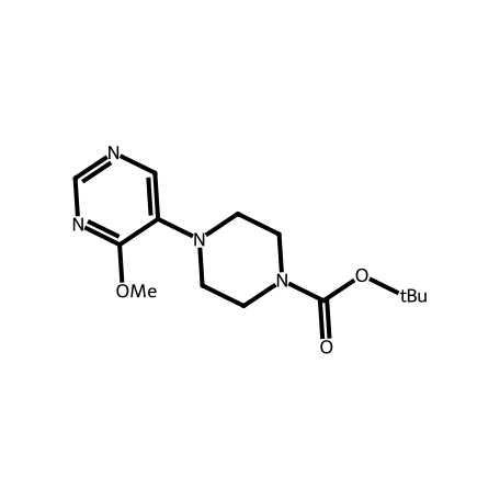 COc1ncncc1N1CCN(C(=O)OC(C)(C)C)CC1